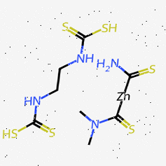 CN(C)[C](=S)[Zn][C](N)=S.S=C(S)NCCNC(=S)S